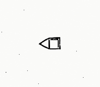 C1=CC2CC=12